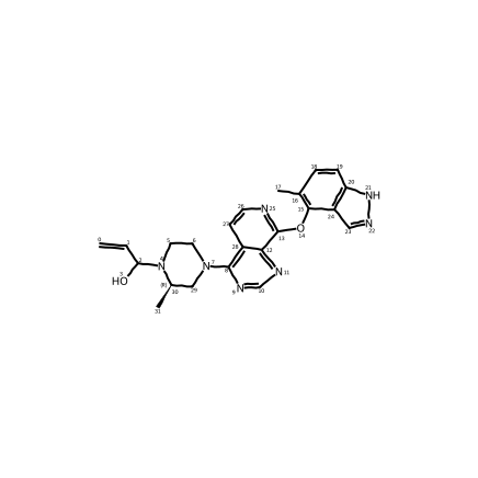 C=CC(O)N1CCN(c2ncnc3c(Oc4c(C)ccc5[nH]ncc45)nccc23)C[C@H]1C